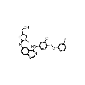 CN1CC(CO)OC1=Nc1ccc2ncnc(Nc3ccc(COc4cccc(F)c4)c(Cl)c3)c2c1